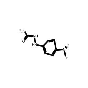 CC(=O)NNc1ccc([N+](=O)[O-])cc1